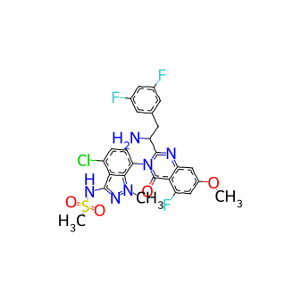 COc1cc(F)c2c(=O)n(-c3ccc(Cl)c4c(NS(C)(=O)=O)nn(C)c34)c(C(N)Cc3cc(F)cc(F)c3)nc2c1